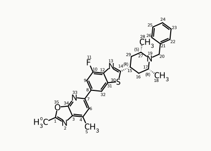 Cc1nc2c(C)cc(-c3cc(F)c4nc([C@H]5C[C@@H](C)N(Cc6ccccc6)[C@@H](C)C5)sc4c3)nc2o1